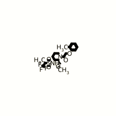 COC[C@H]1C(NS(=O)(=O)[C@H](C)C(F)(F)F)CCCN1C(=O)COc1ccccc1C